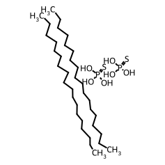 CCCCCCCCCCCCCCCCCC.CCCCCCCCCCCCCCCCCC.OP(O)(O)=S.OP(O)(O)=S